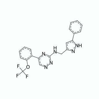 FC(F)(F)Oc1ccccc1-c1cnnc(NCc2cc(-c3ccccc3)[nH]n2)n1